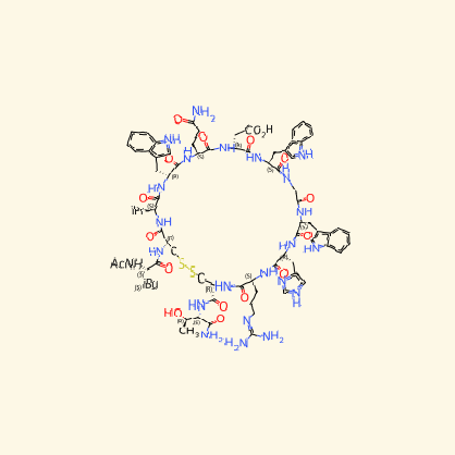 CC[C@H](C)[C@H](NC(C)=O)C(=O)N[C@H]1CSSC[C@@H](C(=O)N[C@H](C(N)=O)[C@@H](C)O)NC(=O)[C@H](CCCN=C(N)N)NC(=O)[C@@H](Cc2c[nH]cn2)NC(=O)[C@H](Cc2c[nH]c3ccccc23)NC(=O)CNC(=O)[C@H](Cc2c[nH]c3ccccc23)NC(=O)[C@@H](CC(=O)O)NC(=O)[C@H](CCC(N)=O)NC(=O)[C@@H](Cc2c[nH]c3ccccc23)NC(=O)[C@H](C(C)C)NC1=O